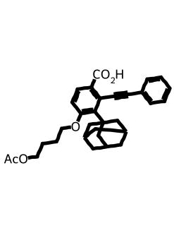 CC(=O)OCCCCOc1ccc(C(=O)O)c(C#Cc2ccccc2)c1C12CC3CC(CC(C3)C1)C2